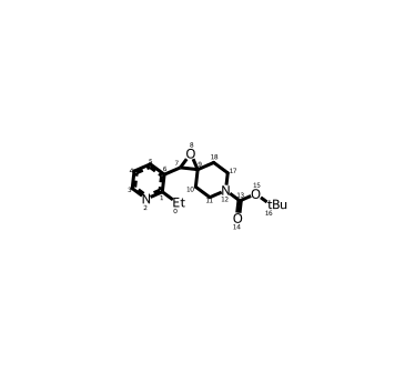 CCc1ncccc1C1OC12CCN(C(=O)OC(C)(C)C)CC2